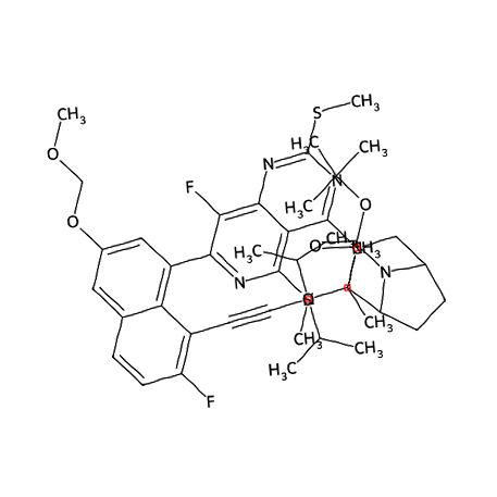 COCOc1cc(-c2nc(OC)c3c(N4CC5CCC(C4)N5C(=O)OC(C)(C)C)nc(SC)nc3c2F)c2c(C#C[Si](C(C)C)(C(C)C)C(C)C)c(F)ccc2c1